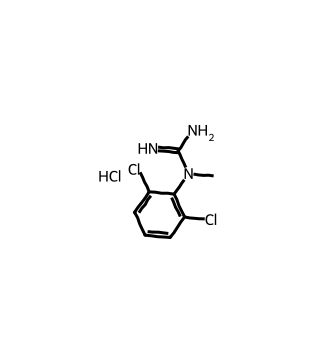 CN(C(=N)N)c1c(Cl)cccc1Cl.Cl